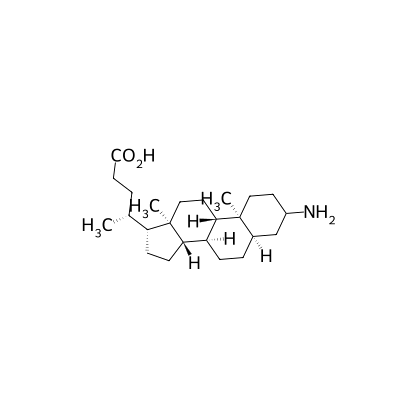 C[C@H](CCC(=O)O)[C@H]1CC[C@H]2[C@@H]3CC[C@@H]4CC(N)CC[C@]4(C)[C@H]3CC[C@]12C